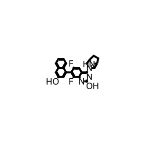 Oc1cc(-c2c(F)cc3c(N4CC5CCC(C4)N5)nc(O)nc3c2F)c2ccccc2c1